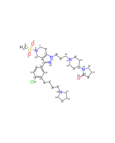 CS(=O)(=O)N1CCc2c(c(-c3ccc(Cl)c(CCCCN4CCCC4)c3)nn2CCCN2CCC(N3CCCC3=O)CC2)C1